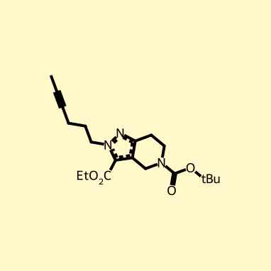 CC#CCCCn1nc2c(c1C(=O)OCC)CN(C(=O)OC(C)(C)C)CC2